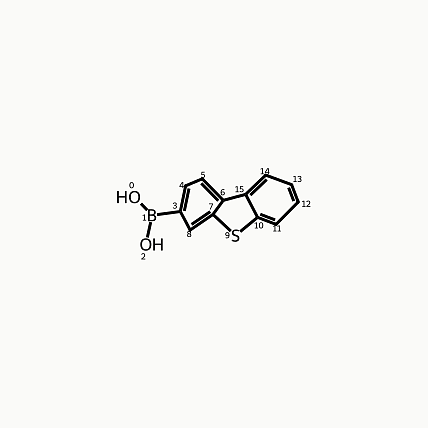 OB(O)c1ccc2c(c1)sc1ccccc12